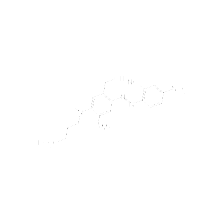 CCN(CCCC(=O)O)c1cc(CO)c(N=Nc2ccc([N+](=O)[O-])cc2C#N)cc1OC